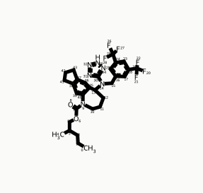 CCCC(C)COC(=O)N1CCCC(N(Cc2cc(C(F)(F)F)cc(C(F)(F)F)c2)c2nn[nH]n2)c2cc3c(cc21)CCC3